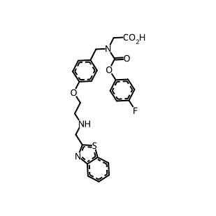 O=C(O)CN(Cc1ccc(OCCNCc2nc3ccccc3s2)cc1)C(=O)Oc1ccc(F)cc1